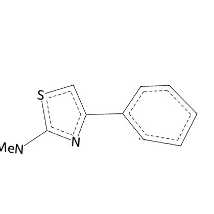 CNc1nc(-c2[c]cccc2)cs1